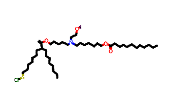 C=C(OCCCCCN(CCCCCCCOC(=O)CCCCCCCCCCC)CCOI)C(CCCCCCCC)CCCCCCCSCl